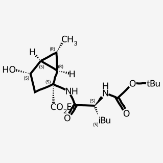 CCOC(=O)[C@]1(NC(=O)[C@@H](NC(=O)OC(C)(C)C)[C@@H](C)CC)C[C@H](O)[C@H]2[C@H](C)[C@H]21